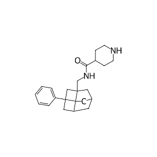 O=C(NCC12CC3CC4CC(c5ccccc5)(C1)C42C3)C1CCNCC1